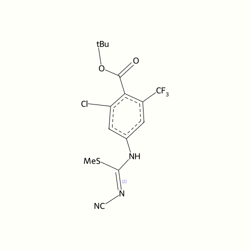 CS/C(=N\C#N)Nc1cc(Cl)c(C(=O)OC(C)(C)C)c(C(F)(F)F)c1